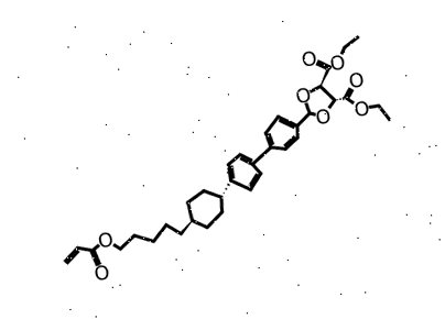 C=CC(=O)OCCCCC[C@H]1CC[C@H](c2ccc(-c3ccc(C4O[C@@H](C(=O)OCC)[C@H](C(=O)OCC)O4)cc3)cc2)CC1